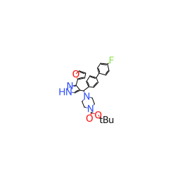 CC(C)(C)OC(=O)N1CCN(C(c2ccc(-c3ccc(F)cc3)cc2)c2c[nH]nc2-c2ccco2)CC1